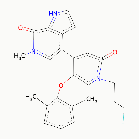 Cc1cccc(C)c1Oc1cn(CCCF)c(=O)cc1-c1cn(C)c(=O)c2[nH]ccc12